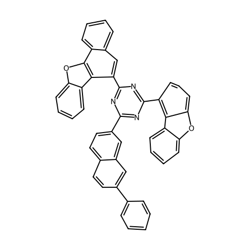 c1ccc(-c2ccc3ccc(-c4nc(-c5cccc6oc7ccccc7c56)nc(-c5cc6ccccc6c6oc7ccccc7c56)n4)cc3c2)cc1